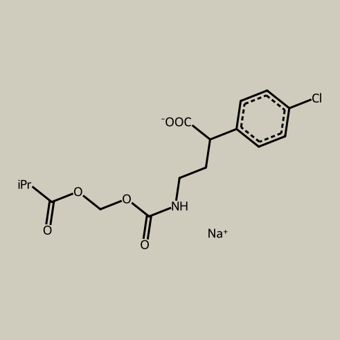 CC(C)C(=O)OCOC(=O)NCCC(C(=O)[O-])c1ccc(Cl)cc1.[Na+]